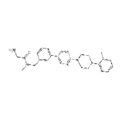 Cc1cccnc1C1CCN(c2ncc(-c3cccc(CN(C)C(=O)CN)c3)cn2)CC1